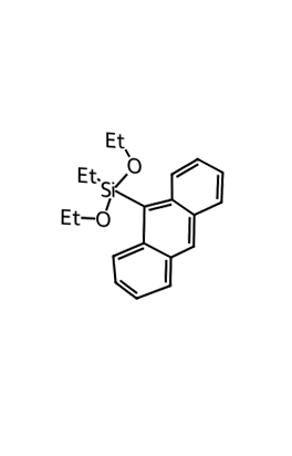 CCO[Si](CC)(OCC)c1c2ccccc2cc2ccccc12